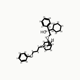 O[C@](CO[C@H]1C[N+]2(CCCOc3ccccc3)CCC1CC2)(c1ccccc1)C1CCCCC1